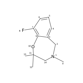 CN1Cc2cccc(F)c2OC(C)(C)C1